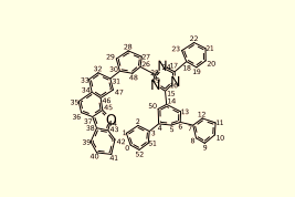 c1ccc(-c2cc(-c3ccccc3)cc(-c3nc(-c4ccccc4)nc(-c4cccc(-c5ccc6ccc7c8ccccc8oc7c6c5)c4)n3)c2)cc1